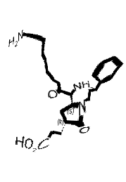 NCCCCCC(=O)C(N)[C@@H]1C[C@@H](CCC(=O)O)C(=O)N1CCCc1ccccc1